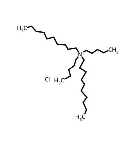 CCCCCCCCCC[N+](CCCCC)(CCCCC)CCCCCCCCCC.[Cl-]